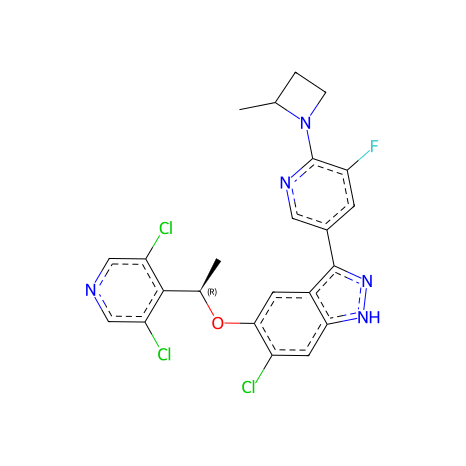 CC1CCN1c1ncc(-c2n[nH]c3cc(Cl)c(O[C@H](C)c4c(Cl)cncc4Cl)cc23)cc1F